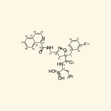 CC(C)C[C@H](NC(=O)C1(Cc2cccc(F)c2)CC(CNC(=O)c2nccc3ccccc23)=NO1)B(O)O